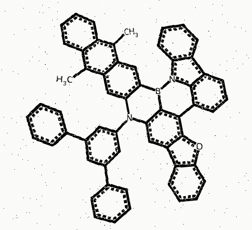 Cc1c2ccccc2c(C)c2cc3c(cc12)B1c2c(cc4c(oc5ccccc54)c2-c2cccc4c5ccccc5n1c24)N3c1cc(-c2ccccc2)cc(-c2ccccc2)c1